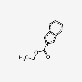 CCOC(=O)n1cc2ccccc2c1